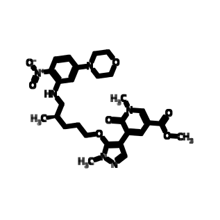 COC(=O)c1cc(-c2cnn(C)c2OCCC[C@@H](C)CNc2cc(N3CCOCC3)ccc2[N+](=O)[O-])c(=O)n(C)c1